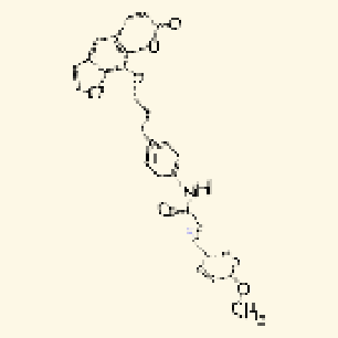 COc1ccc(/C=C/C(=O)NC2=CC=[PH](CCCOc3c4occc4cc4ccc(=O)oc34)CC2)cc1